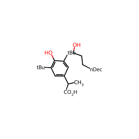 CC(C(=O)O)c1cc(C(C)(C)C)c(O)c(C(C)(C)C)c1.CCCCCCCCCCCCCO